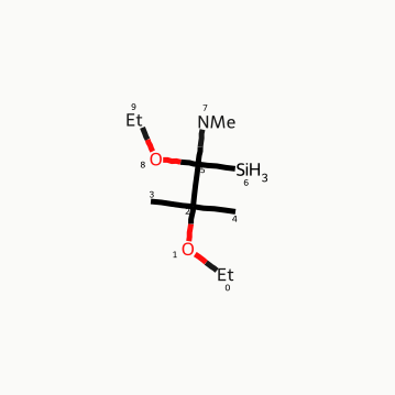 CCOC(C)(C)C([SiH3])(NC)OCC